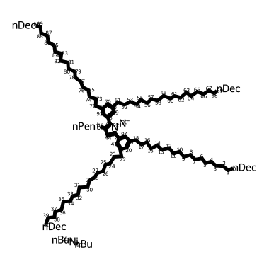 CCCCCCCCCCCCCCCCCCCCCCCCCCCCc1cc(CCCCCCCCCCCCCCCCCCCCCCCCCCCC)cc(C2=CC(CCCCC)=C(c3cc(CCCCCCCCCCCCCCCCCCCCCCCCCCCC)cc(CCCCCCCCCCCCCCCCCCCCCCCCCCCC)c3)[N+]2=[N-])c1.CCC[CH2][Ni][CH2]CCC